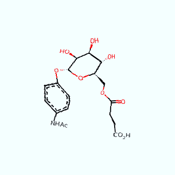 CC(=O)Nc1ccc(O[C@H]2O[C@H](COC(=O)CCC(=O)O)[C@@H](O)[C@H](O)[C@@H]2O)cc1